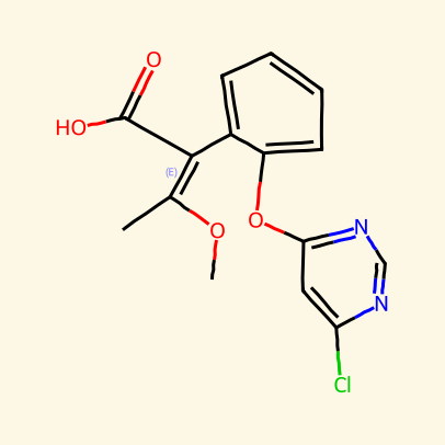 CO/C(C)=C(/C(=O)O)c1ccccc1Oc1cc(Cl)ncn1